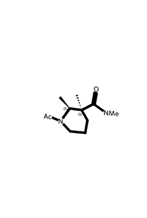 CNC(=O)[C@@]1(C)CCCN(C(C)=O)[C@H]1C